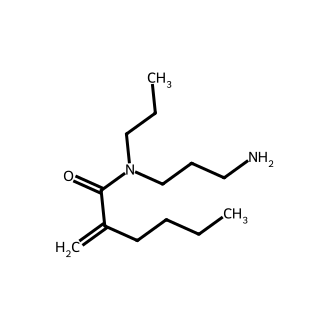 C=C(CCCC)C(=O)N(CCC)CCCN